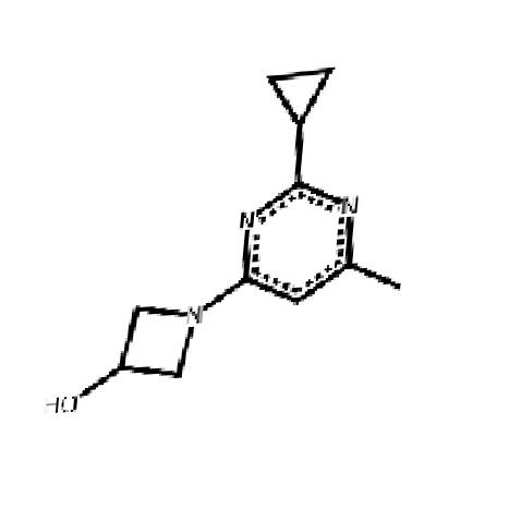 Cc1cc(N2CC(O)C2)nc(C2CC2)n1